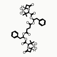 CC1(C)[C@H](C(=O)OC(Cc2ccccc2)OC(=O)CCC(=O)OC(Cc2ccccc2)OC(=O)[C@@H]2N3C(=O)C[C@H]3S(=O)(=O)C2(C)C)N2C(=O)C[C@H]2S1(=O)=O